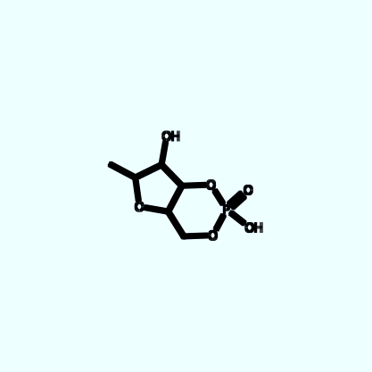 CC1OC2COP(=O)(O)OC2C1O